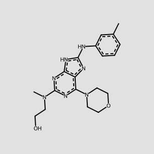 Cc1cccc(Nc2nc3c(N4CCOCC4)nc(N(C)CCO)nc3[nH]2)c1